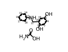 NC(=O)O.Oc1ccc(O)c(CNc2ccccc2)c1